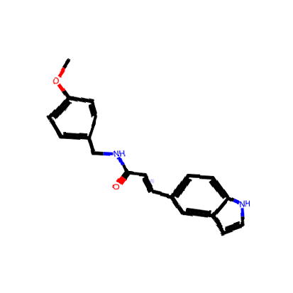 COc1ccc(CNC(=O)/C=C/c2ccc3[nH]ccc3c2)cc1